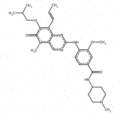 C/C=C/c1c(OCC(C)C)c(=O)n(C)c2cnc(Nc3ccc(C(=O)NC4CCN(C)CC4)cc3OC)nc12